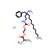 CCCCCCCCCCC(N)(CCNC(=O)OCCOC(=O)C(C)C)Cc1ccccc1.I